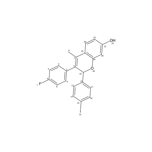 CC1=C(c2ccc(F)cc2)C(c2ccc(I)cc2)Oc2cc(O)ccc21